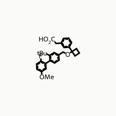 COc1ccc(F)c(-c2ccc(COC3(c4cccc(CC(=O)O)c4)CCC3)cc2C(C)(C)C)c1